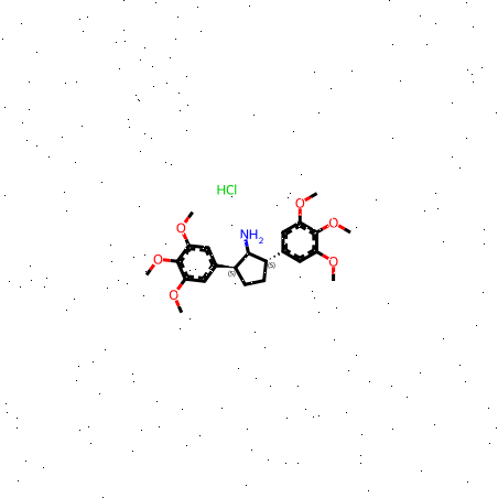 COc1cc([C@@H]2CC[C@@H](c3cc(OC)c(OC)c(OC)c3)C2N)cc(OC)c1OC.Cl